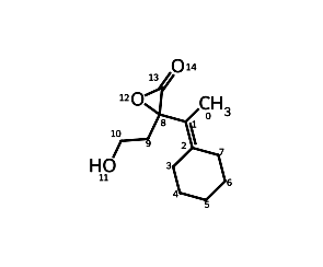 CC(=C1CCCCC1)C1(CCO)OC1=O